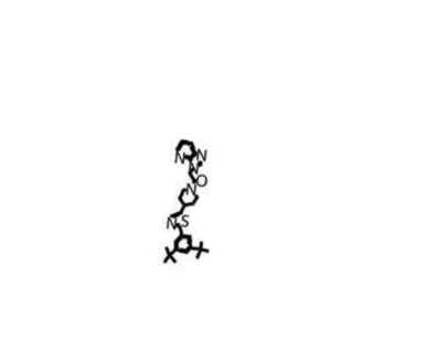 CC(C)(C)c1cc(-c2ncc(C3CCN(C(=O)Cn4cnc5cccnc54)CC3)s2)cc(C(C)(C)C)c1